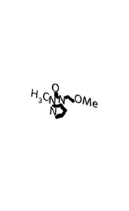 COCCn1c(=O)n(C)c2ncccc21